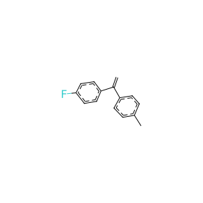 C=C(c1ccc(C)cc1)c1ccc(F)cc1